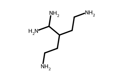 NCCC(CCN)C(N)N